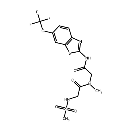 CN(CC(=O)Nc1nc2ccc(OC(F)(F)F)cc2s1)C(=O)CNS(C)(=O)=O